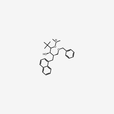 C[SiH](C)OC([C@H](O)[C@@H](COCc1ccccc1)Cc1cccc2ccccc12)C(C)(C)C